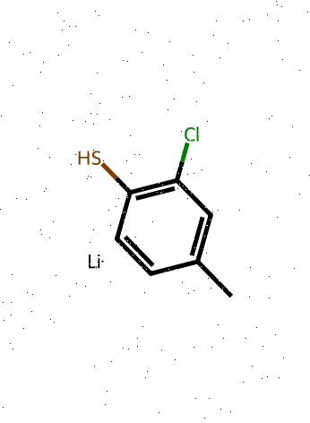 Cc1ccc(S)c(Cl)c1.[Li]